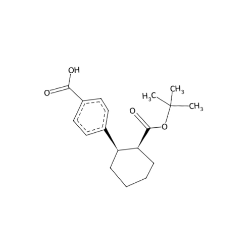 CC(C)(C)OC(=O)[C@H]1CCCC[C@H]1c1ccc(C(=O)O)cc1